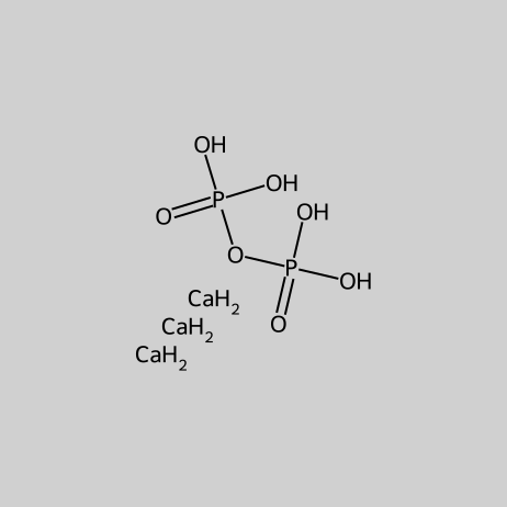 O=P(O)(O)OP(=O)(O)O.[CaH2].[CaH2].[CaH2]